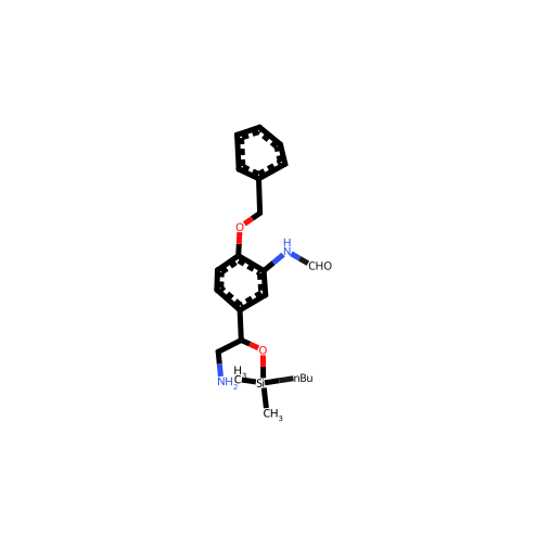 CCCC[Si](C)(C)OC(CN)c1ccc(OCc2ccccc2)c(NC=O)c1